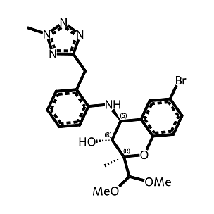 COC(OC)[C@]1(C)Oc2ccc(Br)cc2[C@H](Nc2ccccc2Cc2nnn(C)n2)[C@H]1O